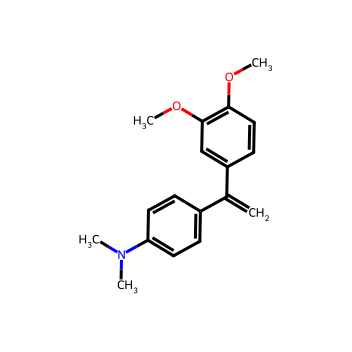 C=C(c1ccc(N(C)C)cc1)c1ccc(OC)c(OC)c1